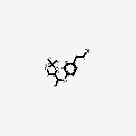 CC(Sc1ccc(CCO)cc1)C1COC(C)(C)O1